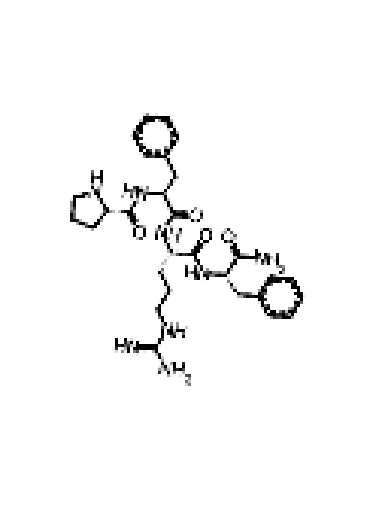 N=C(N)NCCC[C@H](NC(=O)[C@H](Cc1ccccc1)NC(=O)[C@@H]1CCCN1)C(=O)N[C@@H](Cc1ccccc1)C(N)=O